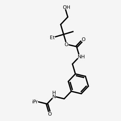 CCC(C)(CCO)OC(=O)NCc1cccc(CNC(=O)C(C)C)c1